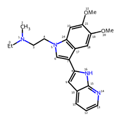 CCN(C)CCn1cc(-c2cc3cccnc3[nH]2)c2cc(OC)c(OC)cc21